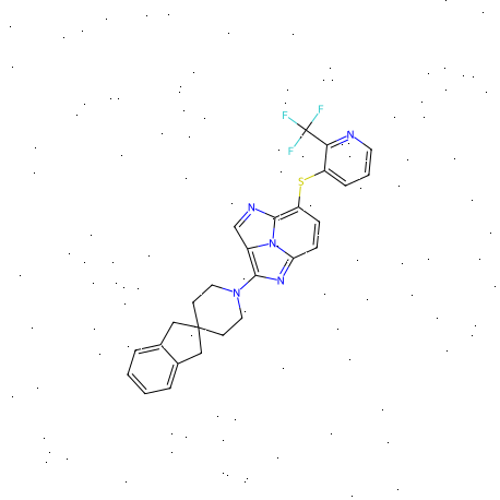 FC(F)(F)c1ncccc1Sc1ccc2nc(N3CCC4(CC3)Cc3ccccc3C4)c3cnc1n23